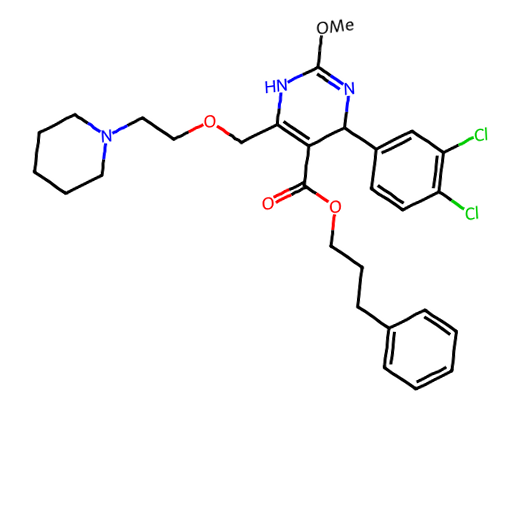 COC1=NC(c2ccc(Cl)c(Cl)c2)C(C(=O)OCCCc2ccccc2)=C(COCCN2CCCCC2)N1